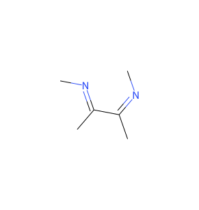 C/N=C(C)\C(C)=N\C